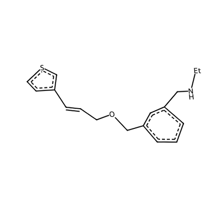 CCNCc1cccc(COC/C=C/c2ccsc2)c1